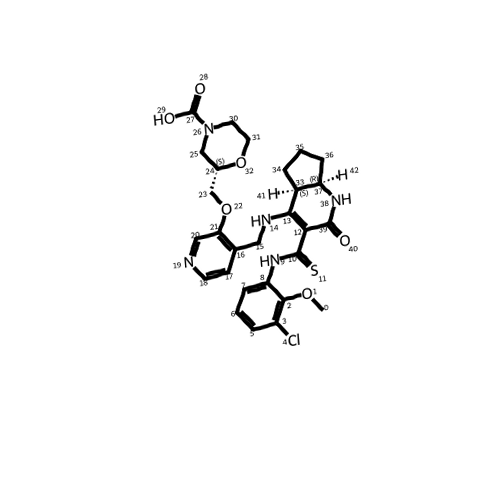 COc1c(Cl)cccc1NC(=S)C1=C(NCc2ccncc2OC[C@@H]2CN(C(=O)O)CCO2)[C@H]2CCC[C@H]2NC1=O